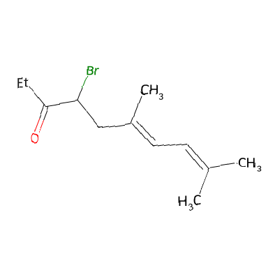 CCC(=O)C(Br)C/C(C)=C/C=C(C)C